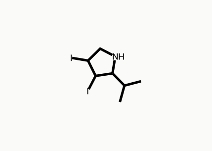 CC(C)C1NCC(I)C1I